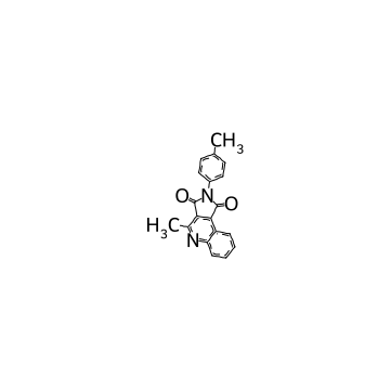 Cc1ccc(N2C(=O)c3c(C)nc4ccccc4c3C2=O)cc1